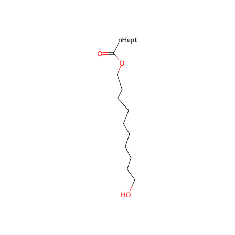 CCCCCCCC(=O)OCCCCCCCCCCO